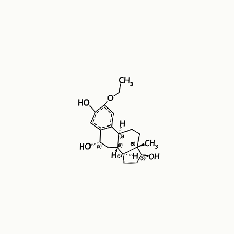 CCOc1cc2c(cc1O)[C@@H](O)C[C@@H]1[C@@H]2CC[C@]2(C)[C@@H](O)CC[C@@H]12